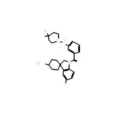 CC1CCC2(CC1)CN(C(=O)c1cccc(S(=O)(=O)N3CCC(F)(F)CC3)c1)c1ccc(Br)cc12